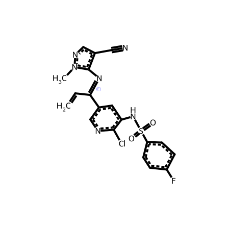 C=C/C(=N\c1c(C#N)cnn1C)c1cnc(Cl)c(NS(=O)(=O)c2ccc(F)cc2)c1